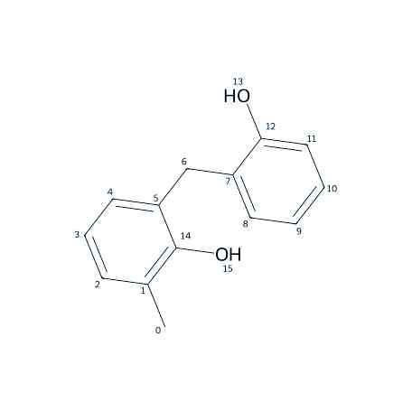 Cc1cccc(Cc2ccccc2O)c1O